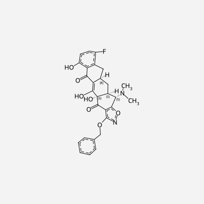 CN(C)[C@@H]1c2onc(OCc3ccccc3)c2C(=O)[C@@]2(O)C(O)=C3C(=O)c4c(O)ccc(F)c4C[C@H]3C[C@@H]12